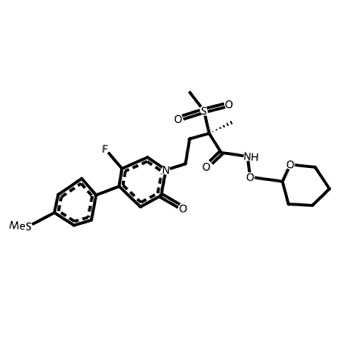 CSc1ccc(-c2cc(=O)n(CC[C@](C)(C(=O)NOC3CCCCO3)S(C)(=O)=O)cc2F)cc1